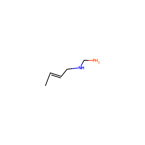 C/C=C/CNCP